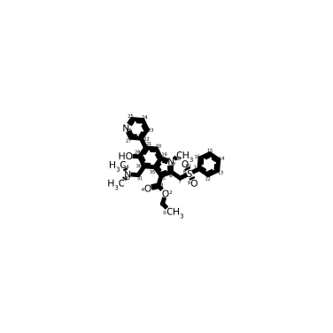 CCOC(=O)c1c(CS(=O)(=O)c2ccccc2)n(C)c2cc(-c3cccnc3)c(O)c(CN(C)C)c12